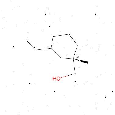 CCC1CCC[C@](C)(CO)C1